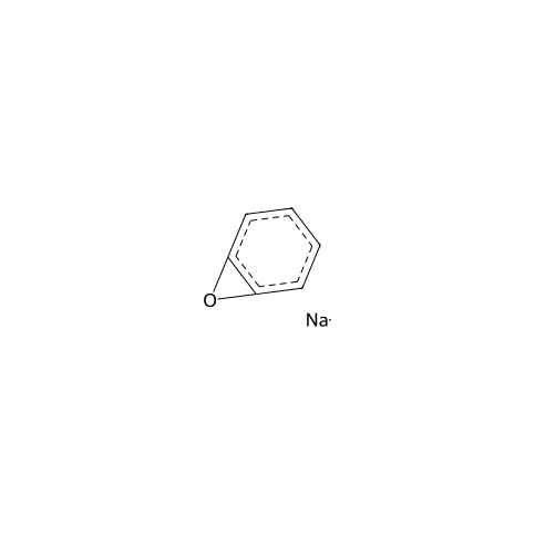 [Na].c1ccc2c(c1)O2